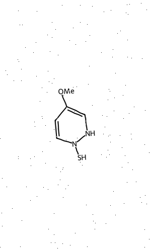 COC1=CNN(S)C=C1